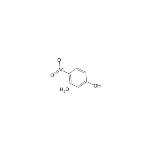 O.O=[N+]([O-])c1ccc(O)cc1